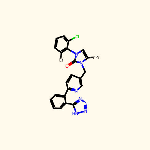 CCCc1cn(-c2c(Cl)cccc2CC)c(=O)n1Cc1ccc(-c2ccccc2-c2nnn[nH]2)nc1